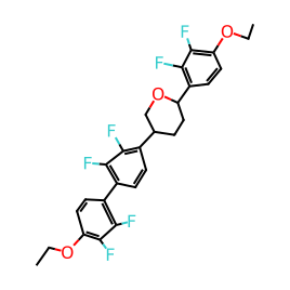 CCOc1ccc(-c2ccc(C3CCC(c4ccc(OCC)c(F)c4F)OC3)c(F)c2F)c(F)c1F